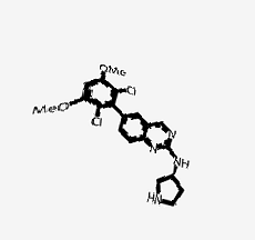 COc1cc(OC)c(Cl)c(-c2ccc3nc(N[C@H]4C[CH]NC4)ncc3c2)c1Cl